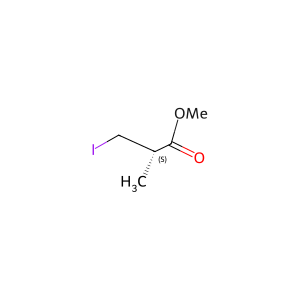 COC(=O)[C@H](C)CI